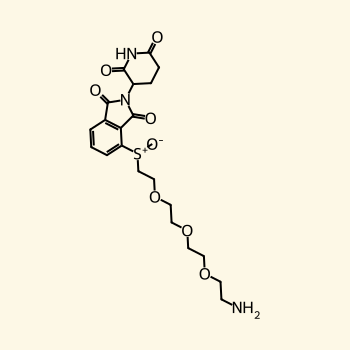 NCCOCCOCCOCC[S+]([O-])c1cccc2c1C(=O)N(C1CCC(=O)NC1=O)C2=O